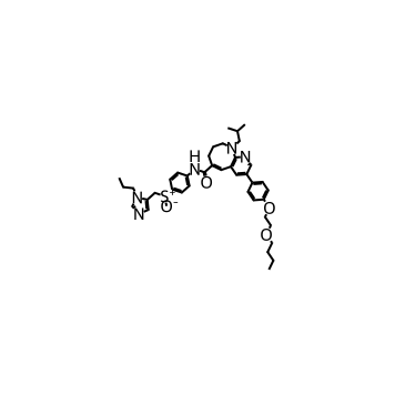 CCCCOCCOc1ccc(-c2cnc3c(c2)/C=C(/C(=O)Nc2ccc([S+]([O-])Cc4cncn4CCC)cc2)CCCN3CC(C)C)cc1